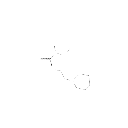 C=C(OCCN1CCCCC1)[SiH](OCC)OCC